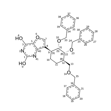 Oc1nc(O)c2occ([C@@H]3CC[C@H](COCc4ccccc4)[C@@H](OCc4ccccc4)[C@H]3OCc3ccccc3)c2n1